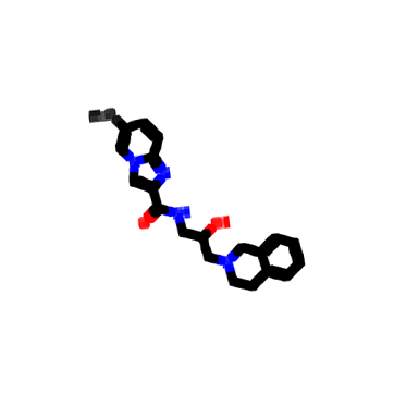 COc1ccc2nc(C(=O)NCC(O)CN3CCc4ccccc4C3)cn2c1